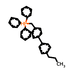 CCCc1ccc(-c2ccc(C[PH](c3ccccc3)(c3ccccc3)c3ccccc3)cc2)cc1